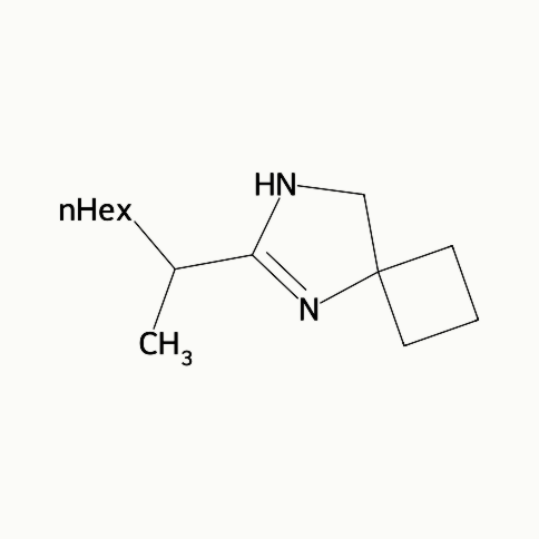 CCCCCCC(C)C1=NC2(CCC2)CN1